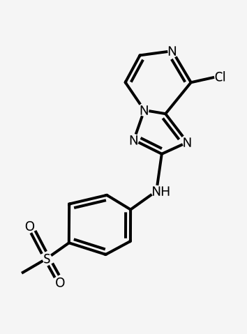 CS(=O)(=O)c1ccc(Nc2nc3c(Cl)nccn3n2)cc1